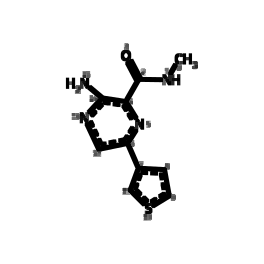 CNC(=O)c1nc(-c2ccsc2)cnc1N